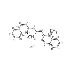 CN1C(=CC=Cc2ccc3ccccc3[n+]2C)C=Cc2ccccc21.[I-]